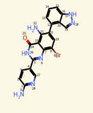 Nc1ccc(-c2nc3c(Br)cc(-c4cccc5[nH]ncc45)c(N)c3c(=O)[nH]2)cn1